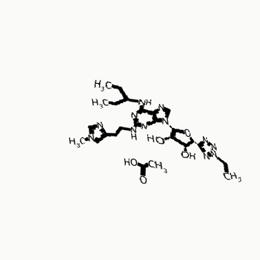 CC(=O)O.CCC(CC)Nc1nc(NCCc2cn(C)cn2)nc2c1ncn2[C@@H]1O[C@H](c2nnn(CC)n2)[C@@H](O)[C@H]1O